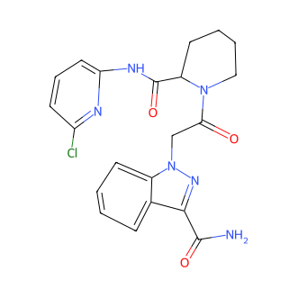 NC(=O)c1nn(CC(=O)N2CCCCC2C(=O)Nc2cccc(Cl)n2)c2ccccc12